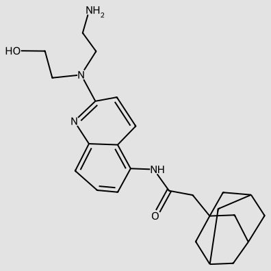 NCCN(CCO)c1ccc2c(NC(=O)CC34CC5CC(CC(C5)C3)C4)cccc2n1